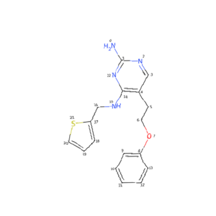 Nc1ncc(CCOc2ccccc2)c(NCc2cccs2)n1